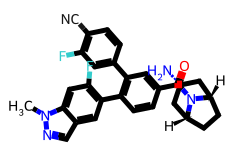 Cn1ncc2cc(-c3ccc(C(=O)N4[C@@H]5CC[C@H]4C[C@@H](N)C5)cc3-c3ccc(C#N)c(F)c3)c(F)cc21